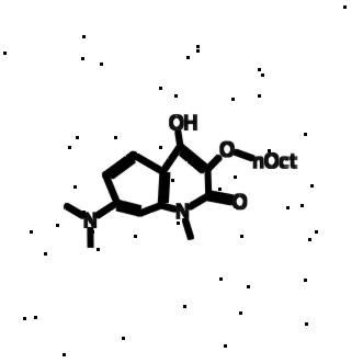 CCCCCCCCOc1c(O)c2ccc(N(C)C)cc2n(C)c1=O